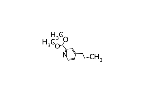 CCCc1ccnc(C(OC)OC)c1